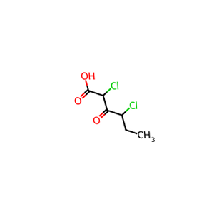 CCC(Cl)C(=O)C(Cl)C(=O)O